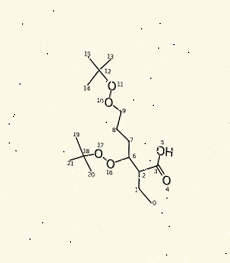 CCC(C(=O)O)C(CCCOOC(C)(C)C)OOC(C)(C)C